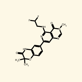 Cn1cnc2cc(-c3ccc4c(c3)NC(=O)C(C)(C)O4)nc(NCC(F)F)c2c1=O